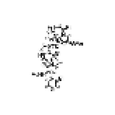 CC[C@@H]1C=C[C@H]2CCN(C(=O)[C@@H]3CC[C@H]4C=C[C@]5(CCCN5C(=O)[C@H](Cc5ccccc5Cl)NC(C)=O)C(=O)N43)[C@@H]2C(=O)N1CC(=O)OC